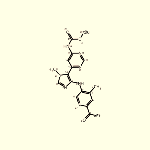 CCC(=O)c1cc(C)c(Nc2ncn(C)c2-c2cc(NC(=O)OC(C)(C)C)ncn2)cn1